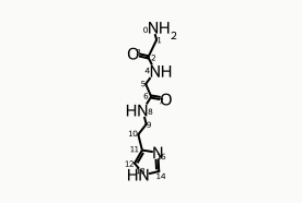 NCC(=O)NCC(=O)NCCc1c[nH]cn1